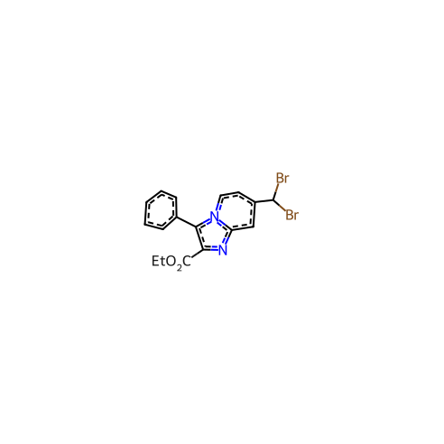 CCOC(=O)c1nc2cc(C(Br)Br)ccn2c1-c1ccccc1